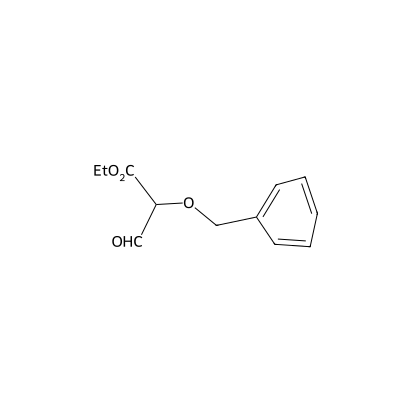 CCOC(=O)C(C=O)OCc1ccccc1